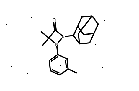 Cc1cccc(N2N(C3C4CC5CC(C4)CC3C5)C(=O)C2(C)C)c1